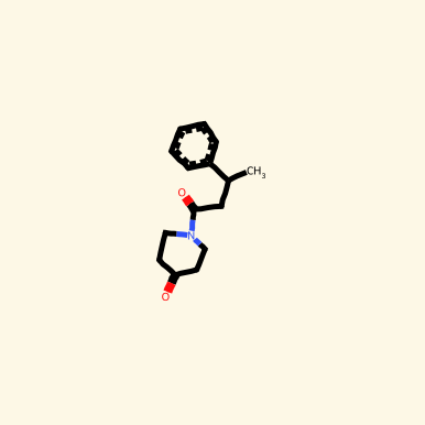 CC(CC(=O)N1CCC(=O)CC1)c1ccccc1